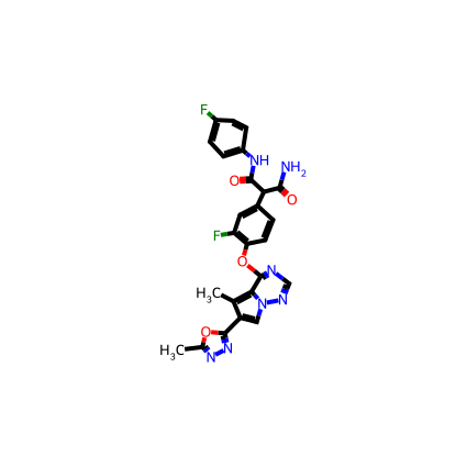 Cc1nnc(-c2cn3ncnc(Oc4ccc(C(C(N)=O)C(=O)Nc5ccc(F)cc5)cc4F)c3c2C)o1